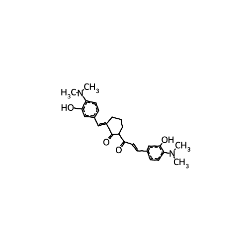 CN(C)c1ccc(C=CC(=O)C2CCCC(=Cc3ccc(N(C)C)c(O)c3)C2=O)cc1O